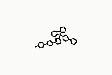 Ic1ccc(-c2ccc(-c3cccc(C4(c5ccc(-c6ccccc6)cc5)c5ccccc5-c5ccccc54)c3)cc2)cc1